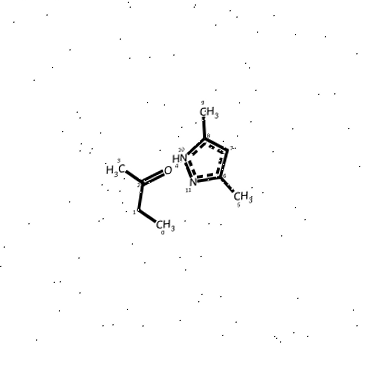 CCC(C)=O.Cc1cc(C)[nH]n1